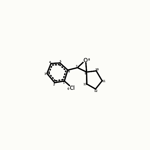 Clc1ccccc1C1OC12CCCC2